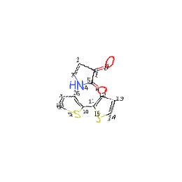 O=C1C=CNC1=O.c1csc(-c2cccs2)c1